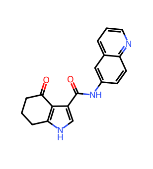 O=C(Nc1ccc2ncccc2c1)c1c[nH]c2c1C(=O)CCC2